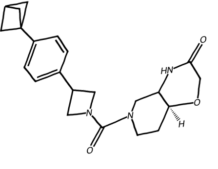 O=C1CO[C@H]2CCN(C(=O)N3CC(c4ccc(C56CC(C5)C6)cc4)C3)CC2N1